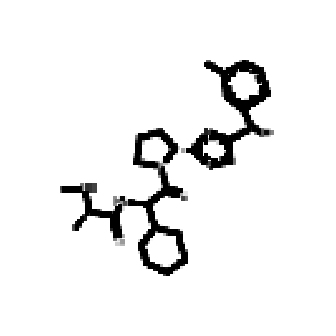 CN[C@H](C)C(=O)N[C@@H](C(=O)N1CCC[C@@H]1c1nc(C(O)c2cccc(C)c2)cs1)C1CCCCC1